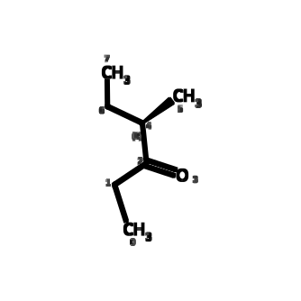 CCC(=O)[C@H](C)CC